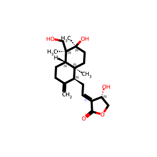 C=C1CC[C@H]2[C@@](C)(CC[C@](C)(O)[C@]2(C)CO)[C@H]1C/C=C1/C(=O)OC[C@H]1O